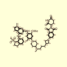 COc1cc(N2CCC(N(C)CCCC3CN(c4ccc5c(c4)C(=O)N(C4CCC(=O)NC4=O)C5=O)C3)CC2)c(C)cc1Nc1nc(Nc2cccc3c2N(S(C)(=O)=O)CC3)c2cc[nH]c2n1